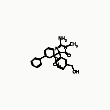 COC1(C2(c3cccc(CO)c3)N=C(N)N(C)C2=O)C=CC=C(c2ccccc2)C1